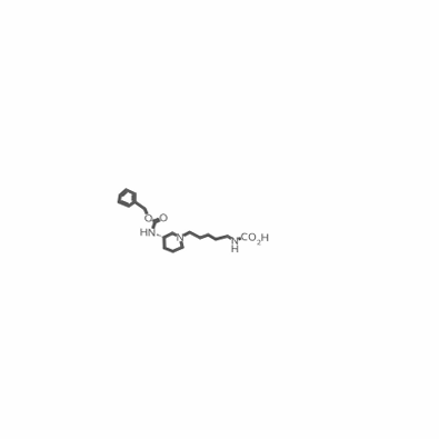 O=C(O)NCCCCCN1CCC[C@H](NC(=O)OCc2ccccc2)C1